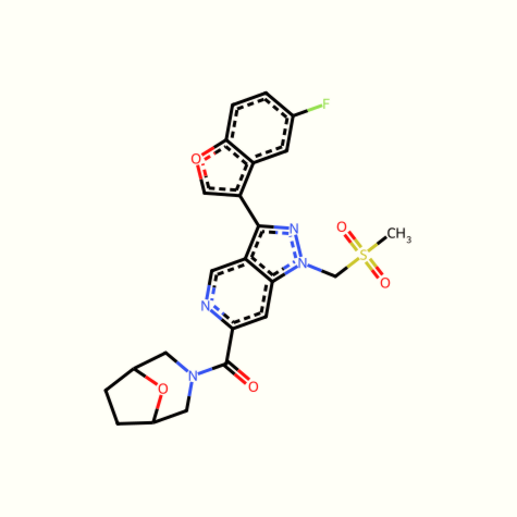 CS(=O)(=O)Cn1nc(-c2coc3ccc(F)cc23)c2cnc(C(=O)N3CC4CCC(C3)O4)cc21